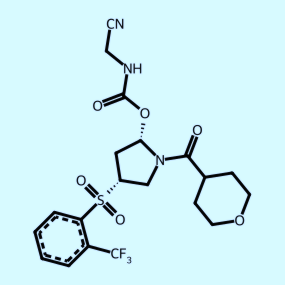 N#CCNC(=O)O[C@H]1C[C@@H](S(=O)(=O)c2ccccc2C(F)(F)F)CN1C(=O)C1CCOCC1